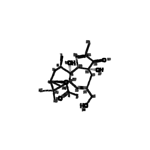 CC(=O)O[C@@]12[CH][C@@H](C)[C@]3(O)C(C=C(CO)C[C@]4(O)C(=O)C(C)=CC34)C1C2(C)C